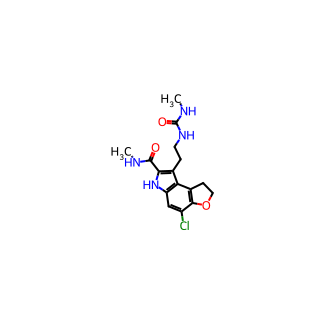 CNC(=O)NCCc1c(C(=O)NC)[nH]c2cc(Cl)c3c(c12)CCO3